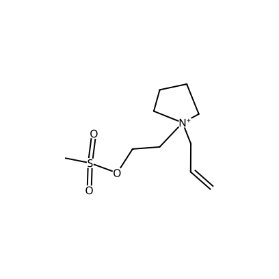 C=CC[N+]1(CCOS(C)(=O)=O)CCCC1